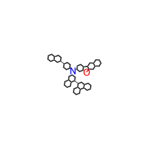 c1ccc2cc(-c3ccc(N(c4cc(-c5cc6ccccc6c6ccccc56)c5ccccc5c4)c4ccc5c(c4)oc4cc6ccccc6cc45)cc3)ccc2c1